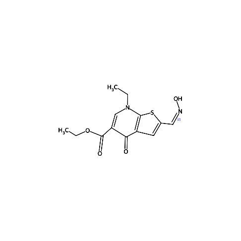 CCOC(=O)c1cn(CC)c2sc(/C=N\O)cc2c1=O